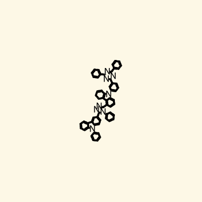 C1=Cc2c(c3c(-c4nnc(-c5ccc6c(c5)c5ccccc5n6-c5ccccc5)n4-c4ccccc4)cccc3n2-c2cccc(-c3nc(-c4ccccc4)nc(-c4ccccc4)n3)c2)CC1